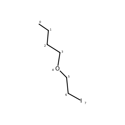 CCCCOCCI